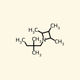 CCC(C)(C)CN1C(C)C(C)C1C